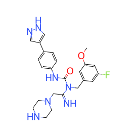 COc1cc(F)cc(CN(C(=N)CN2CCNCC2)C(=O)Nc2ccc(-c3cn[nH]c3)cc2)c1